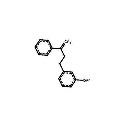 C=C(CCc1cccc(OC(C)=O)c1)c1ccccc1